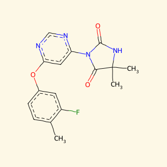 Cc1ccc(Oc2cc(N3C(=O)NC(C)(C)C3=O)ncn2)cc1F